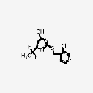 CC(F)(F)c1cc(O)nc(SCc2ccncc2Cl)n1